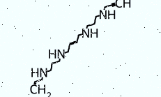 C#CCNCCCNC/C=C/CNCCCNCC=C